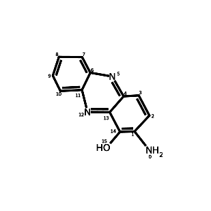 Nc1ccc2nc3ccccc3nc2c1O